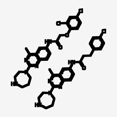 Cc1nc(N2CCCNCC2)nc2ccc(NC(=O)CCc3ccc(Cl)cc3)cc12.Cc1nc(N2CCCNCC2)nc2ccc(NC(=O)COc3ccc(Cl)cc3Cl)cc12